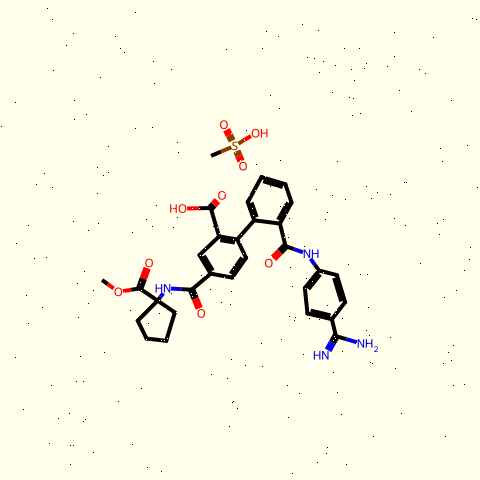 COC(=O)C1(NC(=O)c2ccc(-c3ccccc3C(=O)Nc3ccc(C(=N)N)cc3)c(C(=O)O)c2)CCCC1.CS(=O)(=O)O